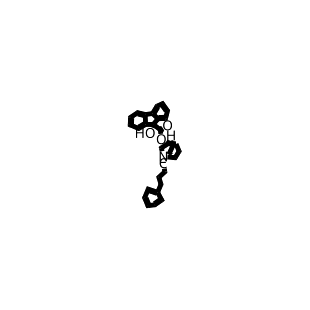 O=C(O[C@H]1C[N+]2(CCCCc3ccccc3)CCC1CC2)C1(O)c2ccccc2-c2ccccc21